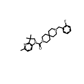 Cc1ccc2c(n1)C(C)(C)CN2C(=O)N1CCC2(CCN(Cc3ccccc3F)CC2)CC1